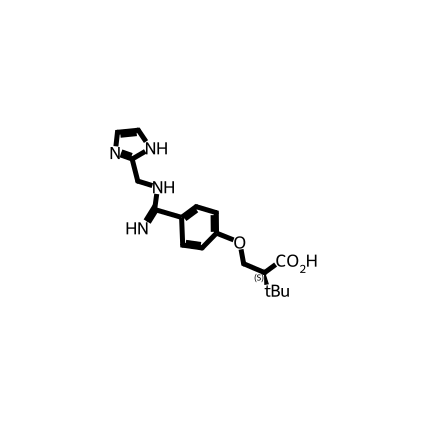 CC(C)(C)[C@@H](COc1ccc(C(=N)NCc2ncc[nH]2)cc1)C(=O)O